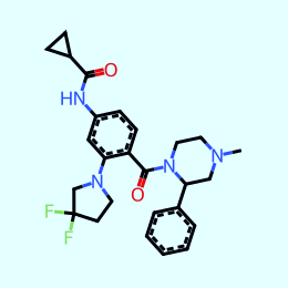 CN1CCN(C(=O)c2ccc(NC(=O)C3CC3)cc2N2CCC(F)(F)C2)C(c2ccccc2)C1